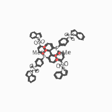 COc1cccc(P(c2ccc(S(=O)(=O)n3ccc4ccccc43)cc2)c2ccc(S(=O)(=O)n3ccc4ccccc43)cc2)c1-c1c(OC)cccc1P(c1ccc(S(=O)(=O)n2ccc3ccccc32)cc1)c1ccc(S(=O)(=O)n2ccc3ccccc32)cc1